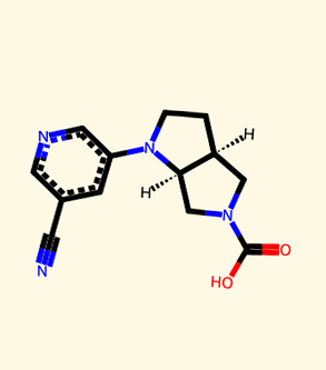 N#Cc1cncc(N2CC[C@H]3CN(C(=O)O)C[C@H]32)c1